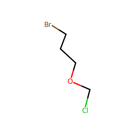 ClCOCCCBr